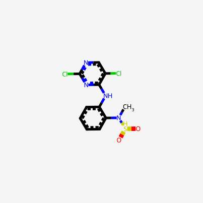 CN(c1ccccc1Nc1nc(Cl)ncc1Cl)[SH](=O)=O